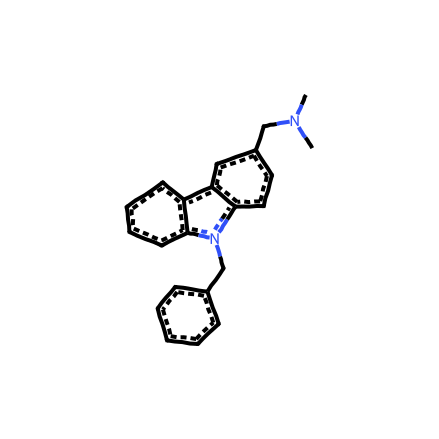 CN(C)Cc1ccc2c(c1)c1ccccc1n2Cc1ccccc1